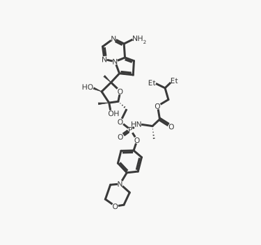 CCC(CC)COC(=O)[C@H](C)NP(=O)(OC[C@H]1O[C@@](C)(c2ccc3c(N)ncnn23)[C@H](O)[C@@]1(C)O)Oc1ccc(N2CCOCC2)cc1